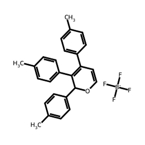 Cc1ccc(C2=C(c3ccc(C)cc3)C(c3ccc(C)cc3)OC=C2)cc1.F[B-](F)(F)F